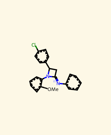 COc1ccccc1N1/C(=N/c2ccccc2)CC1c1ccc(Cl)cc1